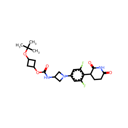 CC(C)(C)OC1CC(OC(=O)NC2CN(c3cc(F)c(C4CCC(=O)NC4=O)c(F)c3)C2)C1